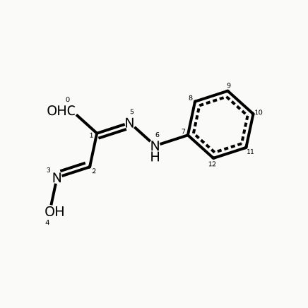 O=CC(/C=N/O)=N/Nc1ccccc1